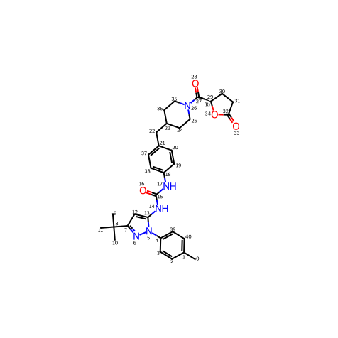 Cc1ccc(-n2nc(C(C)(C)C)cc2NC(=O)Nc2ccc(CC3CCN(C(=O)[C@H]4CCC(=O)O4)CC3)cc2)cc1